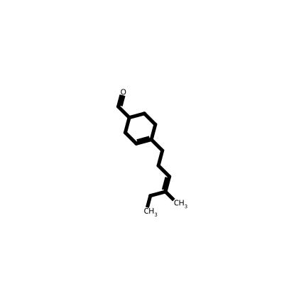 CCC(C)=CCCC1=CCC(C=O)CC1